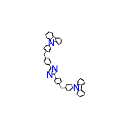 c1ccc2c(c1)c1ccccc1n2-c1ccc(Cc2ccc(-c3cnc(-c4ccc(Cc5ccc(-n6c7ccccc7c7ccccc76)cc5)cc4)cn3)cc2)cc1